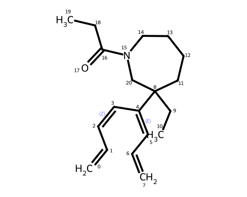 C=C/C=C\C(=C/C=C)C1(CC)CCCCN(C(=O)CC)C1